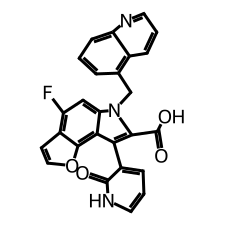 O=C(O)c1c(-c2ccc[nH]c2=O)c2c3occc3c(F)cc2n1Cc1cccc2ncccc12